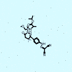 COCP(=O)(NC(C)C(=O)OC(C)C)N1N=C(c2ccc(NN=C(C#N)C#N)cc2)[C@H](C)CC1=O